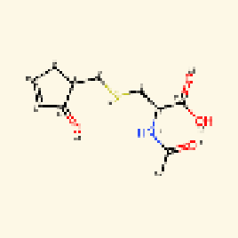 CC(=O)N[C@@H](CSCC1CC=CC1=O)C(=O)O